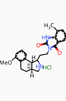 COc1cccc2c1CC[C@H]1CNC(CCn3c(=O)[nH]c4c(C)cccc4c3=O)[C@@H]21.Cl